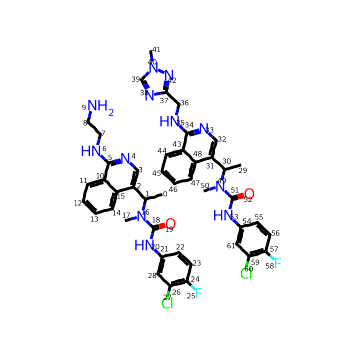 CC(c1cnc(NCCN)c2ccccc12)N(C)C(=O)Nc1ccc(F)c(Cl)c1.CC(c1cnc(NCc2ncn(C)n2)c2ccccc12)N(C)C(=O)Nc1ccc(F)c(Cl)c1